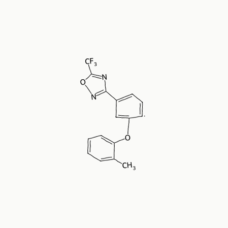 Cc1ccccc1Oc1[c]ccc(-c2noc(C(F)(F)F)n2)c1